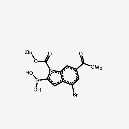 COC(=O)c1cc(Br)c2cc(B(O)O)n(C(=O)OC(C)(C)C)c2c1